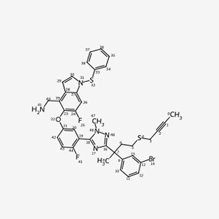 CC#CCSCCC(C)(c1cccc(Br)c1)c1nc(-c2cc(Oc3c(F)cc4c(ccn4Sc4ccccc4)c3CN)ccc2F)n(C)n1